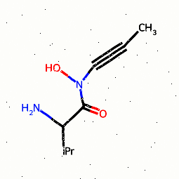 CC#CN(O)C(=O)C(N)C(C)C